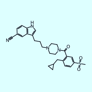 CS(=O)(=O)c1ccc(CC2CC2)c(C(=O)N2CCN(CCCc3c[nH]c4ccc(C#N)cc34)CC2)c1